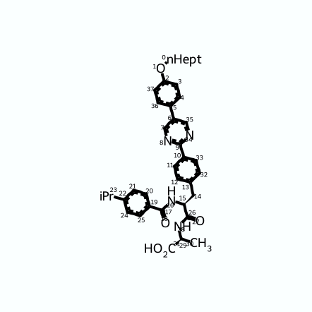 CCCCCCCOc1ccc(-c2cnc(-c3ccc(C[C@H](NC(=O)c4ccc(C(C)C)cc4)C(=O)N[C@@H](C)C(=O)O)cc3)nc2)cc1